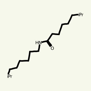 CC(C)CCCCCCNC(=O)CCCCCC(C)C